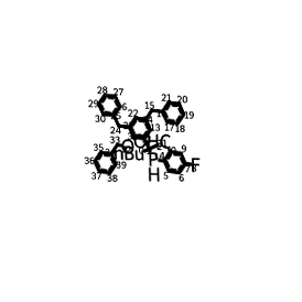 CCCCC(C)(Pc1ccc(F)cc1C=O)c1cc(Cc2ccccc2)cc(Cc2ccccc2)c1OCc1ccccc1